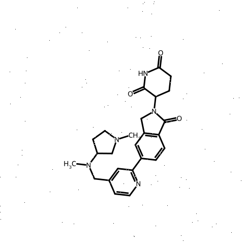 CN1CCC(N(C)Cc2ccnc(-c3ccc4c(c3)CN(C3CCC(=O)NC3=O)C4=O)c2)C1